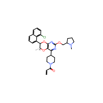 C=CC(=O)N1CCC(c2nc(OCC3CCCN3C)nc3c2O[C@H](C)C(c2cccc4cccc(Cl)c24)O3)CC1